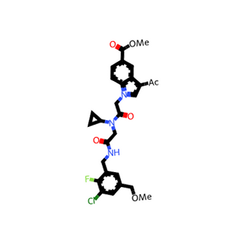 COCc1cc(Cl)c(F)c(CNC(=O)CN(C(=O)Cn2cc(C(C)=O)c3cc(C(=O)OC)ccc32)C2CC2)c1